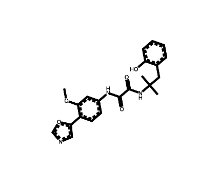 COc1cc(NC(=O)C(=O)NC(C)(C)Cc2ccccc2O)ccc1-c1cnco1